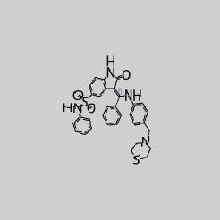 O=C1Nc2ccc(S(=O)(=O)Nc3ccccc3)cc2/C1=C(/Nc1ccc(CN2CCSCC2)cc1)c1ccccc1